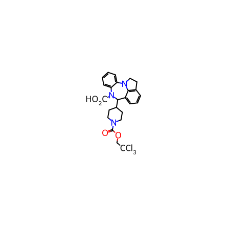 O=C(OCC(Cl)(Cl)Cl)N1CCC(C2c3cccc4c3N(CC4)c3ccccc3N2C(=O)O)CC1